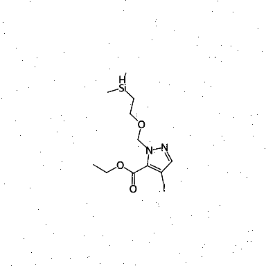 CCOC(=O)c1c(I)cnn1COCC[SiH](C)C